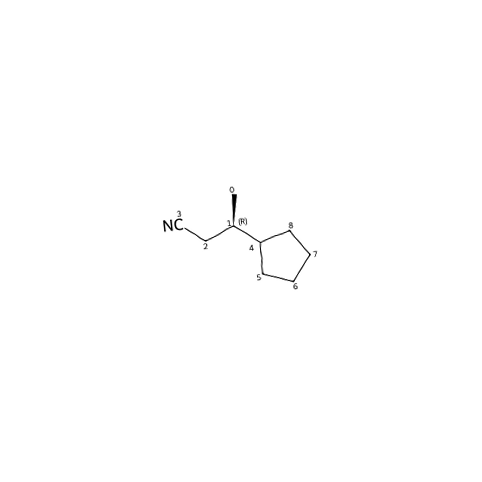 C[C@H](CC#N)C1CCCC1